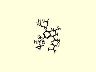 CSc1nc(-c2nnc(C(F)F)s2)c2cc(S(=O)(=O)NC3(C)CC3)cc(N3C[C@H](C)N[C@@H](C)C3)c2n1